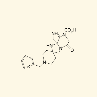 NCC12CN(C(=O)O)CC(=O)N1CC1(CCN(Cc3ccccc3)CC1)N2